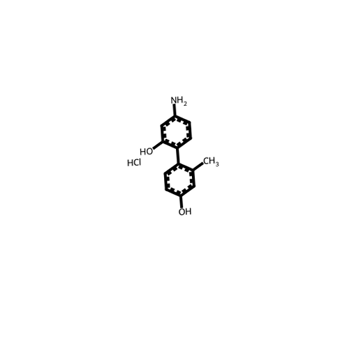 Cc1cc(O)ccc1-c1ccc(N)cc1O.Cl